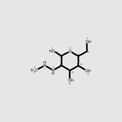 CNNC1C(O)OC(CO)C(O)C1O